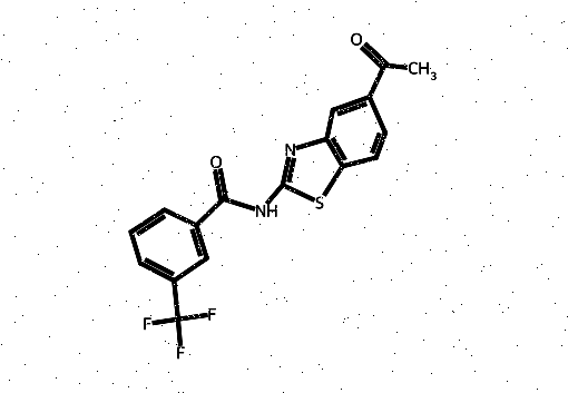 CC(=O)c1ccc2sc(NC(=O)c3cccc(C(F)(F)F)c3)nc2c1